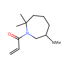 C=CC(=O)N1CC(NC)CCCC1(C)C